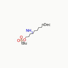 CCCCCCCCCCCCCCCCCCOS(=O)(=O)C(C)(C)C.N